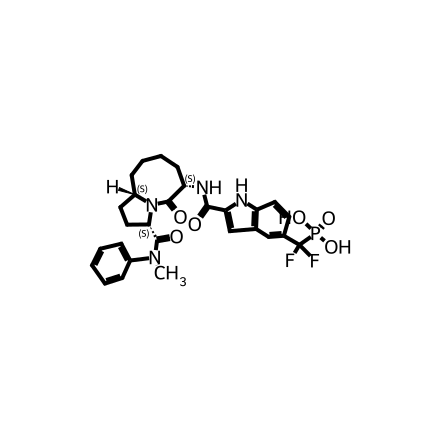 CN(C(=O)[C@@H]1CC[C@@H]2CCCC[C@H](NC(=O)c3cc4cc(C(F)(F)P(=O)(O)O)ccc4[nH]3)C(=O)N21)c1ccccc1